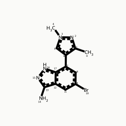 Cc1nn(C)cc1-c1cc(Br)cc2c(N)n[nH]c12